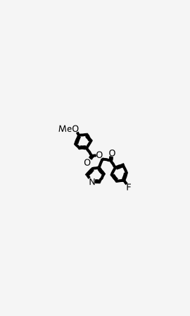 COc1ccc(C(=O)OC(C(=O)c2ccc(F)cc2)c2ccncc2)cc1